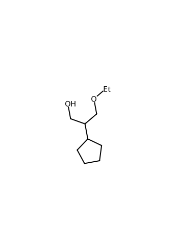 CCOC[C](CO)C1CCCC1